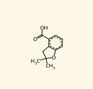 CC1(C)Cc2c(cccc2C(=O)O)O1